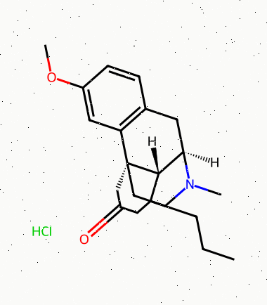 CCCC1CC(=O)C[C@]23CCN(C)[C@H](Cc4ccc(OC)cc42)[C@H]13.Cl